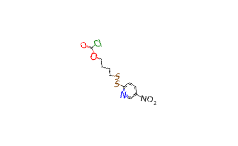 O=C(Cl)OCCCCSSc1ccc([N+](=O)[O-])cn1